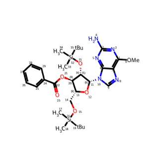 COc1nc(N)nc2c1ncn2[C@@H]1O[C@H](CO[Si](C)(C)C(C)(C)C)[C@@H](OC(=O)c2ccccc2)[C@@H]1O[Si](C)(C)C(C)(C)C